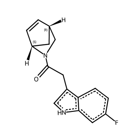 O=C(Cc1c[nH]c2cc(F)ccc12)N1C[C@H]2C=C[C@@H]1C2